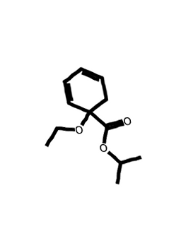 CCOC1(C(=O)OC(C)C)C=CC=CC1